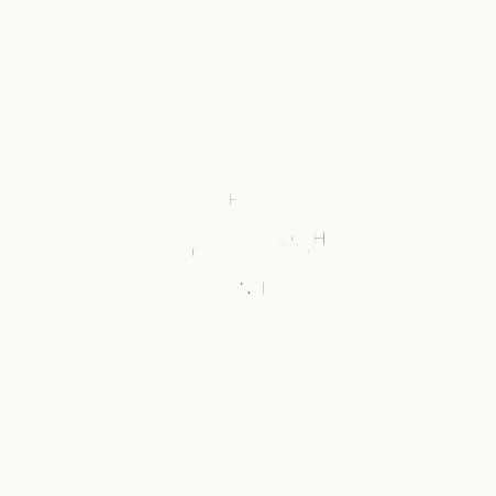 CCCC(N)(F)C(=O)O